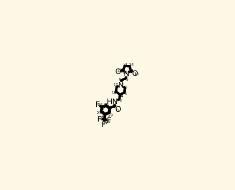 O=C(NCC1CCN(CCN2C(=O)CCC2=O)CC1)c1cc(F)cc(C(F)(F)F)c1